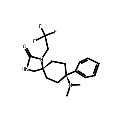 CN(C)[C@]1(c2ccccc2)CC[C@@]2(CC1)CNC(=O)N2CC(F)(F)F